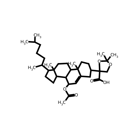 CC(=O)OC1C=C2CC(C3(C(=O)O)COC(C)(C)O3)CCC2(C)C2CCC3(C)C(C(C)CCCC(C)C)CCC3C12